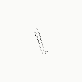 CCCCCCCCCCCCC.CCCCCCCCCCCCCC(C)C